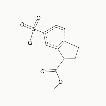 COC(=O)C1CCc2ccc(S(=O)(=O)Cl)cc21